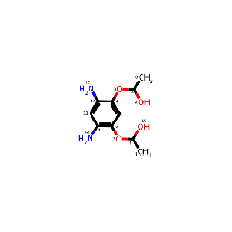 CC(O)Oc1cc(OC(C)O)c(N)cc1N